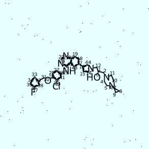 OC(CN1CCN(C2CC2)CC1)Cn1ccc(-c2ccc3ncnc(Nc4ccc(OCc5cccc(F)c5)c(Cl)c4)c3c2)c1